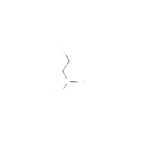 COB(CCN)OC